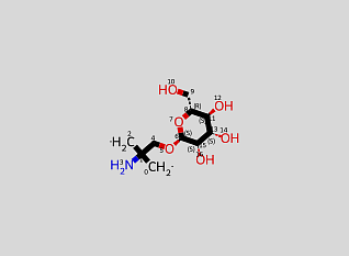 [CH2]C([CH2])(N)CO[C@H]1O[C@H](CO)[C@@H](O)[C@H](O)[C@@H]1O